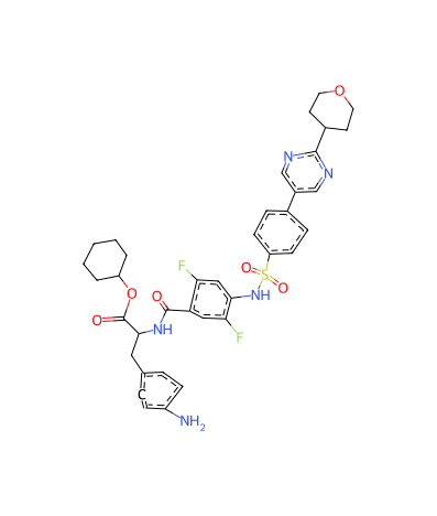 Nc1ccc(CC(NC(=O)c2cc(F)c(NS(=O)(=O)c3ccc(-c4cnc(C5CCOCC5)nc4)cc3)cc2F)C(=O)OC2CCCCC2)cc1